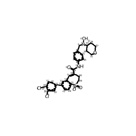 CN(Cc1ccc(NC(=O)C2=Cc3cc(-c4ccc(Cl)c(Cl)c4)ccc3S(=O)(=O)CC2)cc1)C1CCOCC1